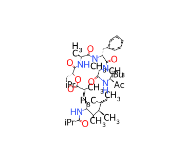 C/C=C(\C)[C@@H](C)[C@@H](C)[C@H](C/C=C(\C)C(=O)O[C@H](CC(C)C)C(=O)N[C@@H](C)C(=O)N(C)[C@H](Cc1ccccc1)C(=O)N(C)CC(=O)N[C@H](C(C)=O)C(C)CC)NC(=O)C(C)C